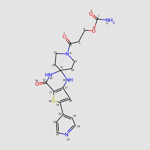 NC(=O)OCCC(=O)N1CCC2(CC1)NC(=O)c1sc(-c3ccncc3)cc1N2